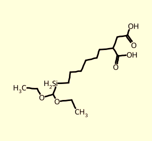 CCOC(OCC)[SiH2]CCCCCCC(CC(=O)O)C(=O)O